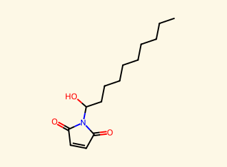 CCCCCCCCCC(O)N1C(=O)C=CC1=O